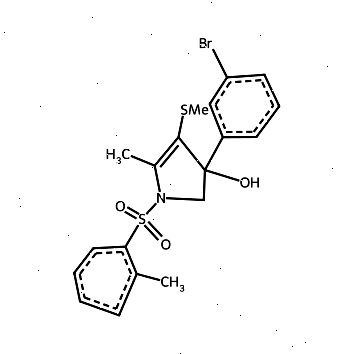 CSC1=C(C)N(S(=O)(=O)c2ccccc2C)CC1(O)c1cccc(Br)c1